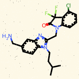 CC(C)CCn1c(CN2C(=O)C(F)(F)c3c(Cl)cccc32)nc2cc(CN)ccc21